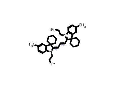 Cc1ccc2c(c1)C1(CCCCC1)C(/C=C/C=C1/N(CCC(C)C)c3ccc(C(F)(F)F)cc3C13CCCCC3)=[N+]2CCC(C)C